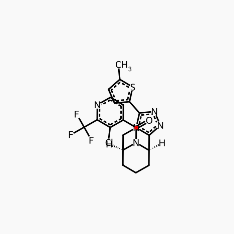 Cc1ccc(-c2nnc3n2C[C@@H]2CCC[C@H]3N2C(=O)c2ccnc(C(F)(F)F)c2Cl)s1